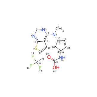 CN(c1ncnc2sc(CC(F)(F)F)cc12)[C@@H]1C=C[C@H](NC(=O)O)C1